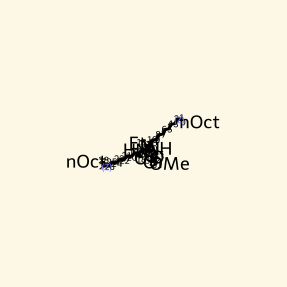 CCCCCCCC/C=C\CCCCCCCCC1=[N+](CC)C(C)(NC(=O)CCCCCCC/C=C\CCCCCCCC)CN1.COS(=O)(=O)[O-]